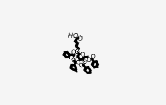 O=C(O)CCCCO[C@H]1OC(COC(=O)c2ccccc2)[C@@H](OC(=O)c2ccccc2)[C@@H](OC(=O)c2ccccc2)C1OC(=O)c1ccccc1